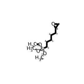 CO[Si](CCCCCC1CO1)(OC)OC